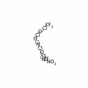 O=[N+]([O-])c1cn2c(n1)OC(COc1ccc(N3CCC(Oc4ccc(OCc5ccc(C(F)(F)F)cc5)cc4)CC3)cc1)CC2